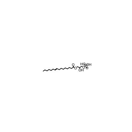 CCCCCCC=CCCCCCCCC(=O)OCC(O)COP(=O)(O)O